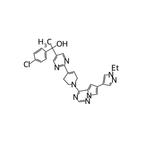 CCn1cc(-c2cc3c(N4CC=C(c5ncc(C(C)(O)c6ccc(Cl)cc6)cn5)CC4)ncnn3c2)cn1